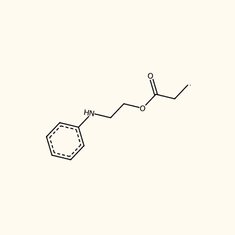 [CH2]CC(=O)OCCNc1ccccc1